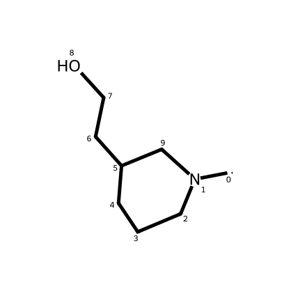 [CH2]N1CCCC(CCO)C1